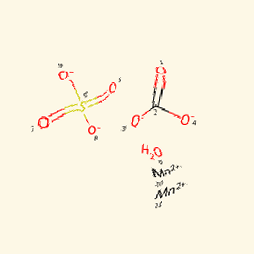 O.O=C([O-])[O-].O=S(=O)([O-])[O-].[Mn+2].[Mn+2]